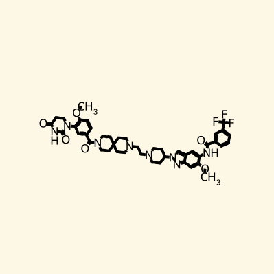 COc1cc2nn(C3CCN(CCN4CCC5(CC4)CCN(C(=O)c4ccc(OC)c(N6CCC(=O)NC6=O)c4)CC5)CC3)cc2cc1NC(=O)c1cccc(C(F)(F)F)c1